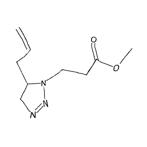 C=CCC1CN=NN1CCC(=O)OC